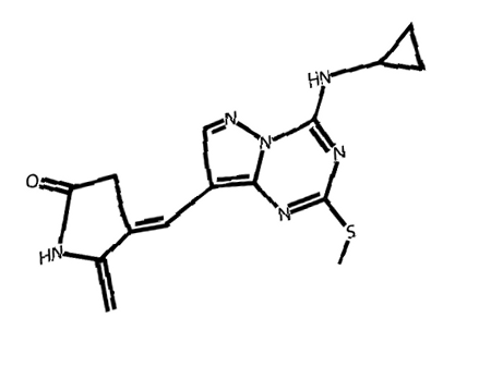 C=C1NC(=O)C/C1=C\c1cnn2c(NC3CC3)nc(SC)nc12